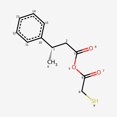 C[C@@H](CC(=O)OC(=O)CS)c1ccccc1